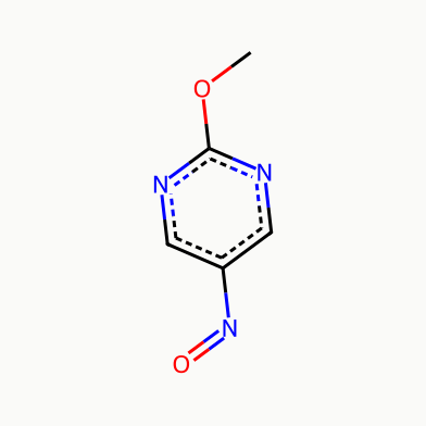 COc1ncc(N=O)cn1